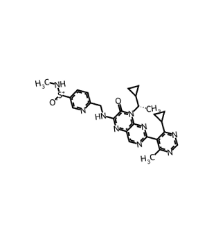 CN[S+]([O-])c1ccc(CNc2nc3cnc(-c4c(C)ncnc4C4CC4)nc3n([C@@H](C)C3CC3)c2=O)nc1